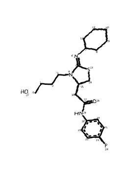 CCCCN1/C(=N/C2CCCCC2)SCC1CC(=O)Nc1ccc(F)cc1.Cl